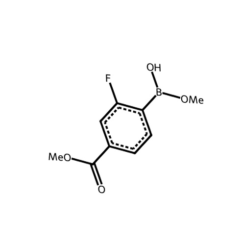 COB(O)c1ccc(C(=O)OC)cc1F